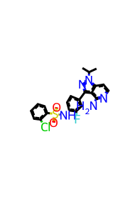 CC(C)n1nc(-c2ccc(NS(=O)(=O)c3ccccc3Cl)c(F)c2)c2c(N)nccc21